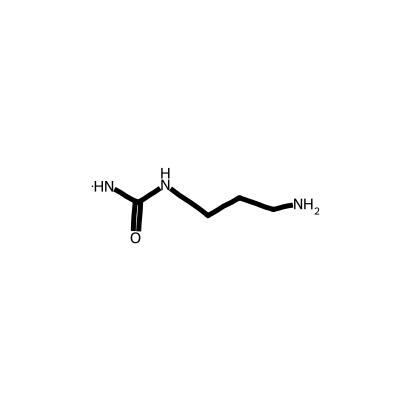 [NH]C(=O)NCCCN